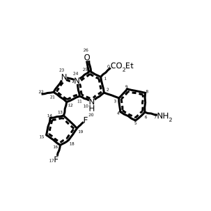 CCOC(=O)c1c(-c2ccc(N)cc2)[nH]c2c(-c3ccc(F)cc3F)c(C)nn2c1=O